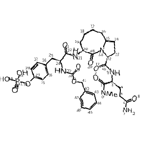 CNC(=O)[C@H](CCC(N)=O)NC(=O)[C@@H]1CCC2CCCC[C@H](NC(=O)[C@H](Cc3ccc(OP(=O)(O)O)cc3)NC(=O)OCc3ccccc3)C(=O)N21